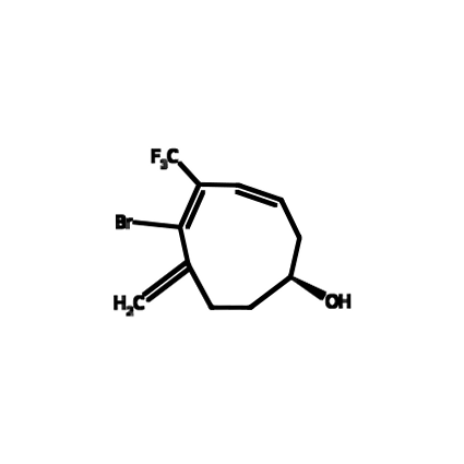 C=C1CC[C@H](O)C/C=C\C(C(F)(F)F)=C/1Br